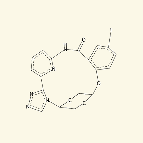 O=C1Nc2cccc(n2)-c2nncn2C2CCC(CC2)Oc2ccc(I)cc21